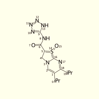 CC(C)C1=CN2CC(C(=O)Nc3nnn[nH]3)=S(=O)=C2N=C1C(C)C